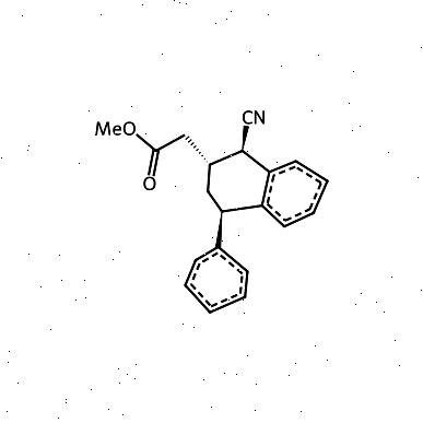 COC(=O)C[C@H]1C[C@H](c2ccccc2)c2ccccc2[C@@H]1C#N